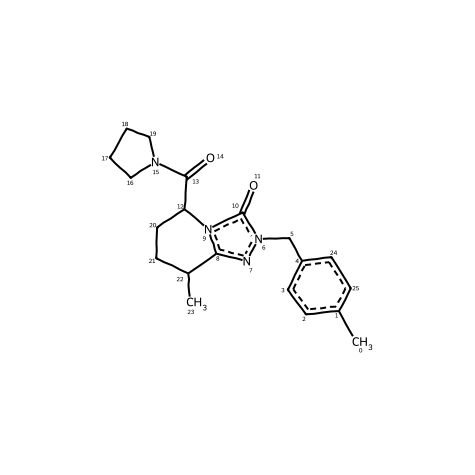 Cc1ccc(Cn2nc3n(c2=O)C(C(=O)N2CCCC2)CCC3C)cc1